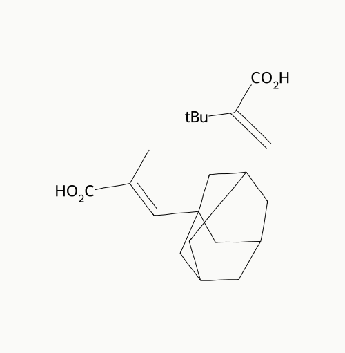 C=C(C(=O)O)C(C)(C)C.CC(=CC12CC3CC(CC(C3)C1)C2)C(=O)O